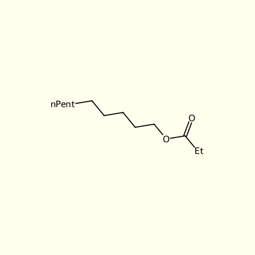 CCCCCCCCCCOC(=O)CC